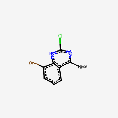 CNc1nc(Cl)nc2c(Br)cccc12